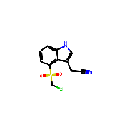 N#CCc1c[nH]c2cccc(S(=O)(=O)CCl)c12